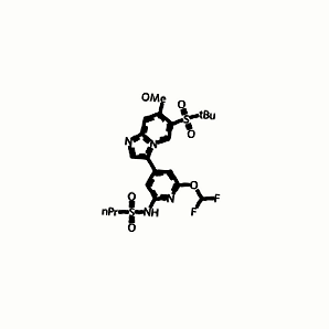 CCCS(=O)(=O)Nc1cc(-c2cnc3cc(OC)c(S(=O)(=O)C(C)(C)C)cn23)cc(OC(F)F)n1